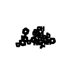 CC[C@H](NC(=O)[C@@H]1C[C@@H](Oc2cc(-c3ccccc3)nc3cc(OC)ccc23)C=C1C(=O)N[C@H](C(=O)N[C@@H](C(=O)OC)C1CCCCC1)C(C)C)C(=O)O